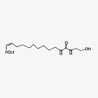 CCCCCCCC/C=C\CCCCCCCCNC(=O)NCCO